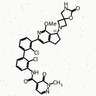 COc1nc(-c2cccc(-c3cccc(NC(=O)c4ccnn(C)c4=O)c3Cl)c2Cl)cc2c1[C@@H](N1CC3(CNC(=O)O3)C1)CC2